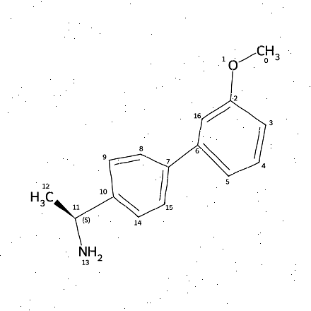 COc1cccc(-c2ccc([C@H](C)N)cc2)c1